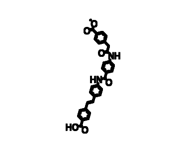 COC(=O)c1ccc(CC(=O)Nc2ccc(C(=O)Nc3ccc(C=Cc4ccc(C(=O)O)cc4)cc3)cc2)cc1